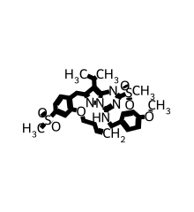 C=CCCOc1cc(S(C)(=O)=O)ccc1Cc1nn2c(NCc3ccc(OC)cc3)nc(S(C)(=O)=O)nc2c1C(C)C